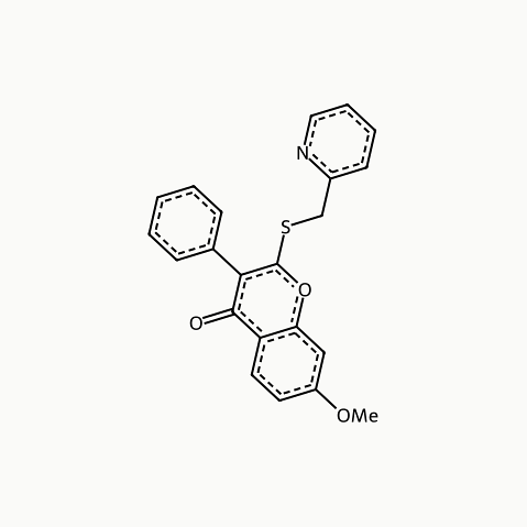 COc1ccc2c(=O)c(-c3ccccc3)c(SCc3ccccn3)oc2c1